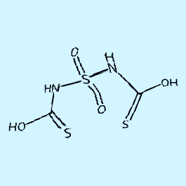 O=S(=O)(NC(O)=S)NC(O)=S